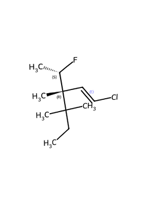 CCC(C)(C)[C@@](C)(/C=C/Cl)[C@H](C)F